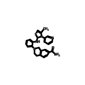 CC1=CSC(Nc2ccccc2N2CCc3ccc(C(N)=O)cc3C2)N1c1cccnc1